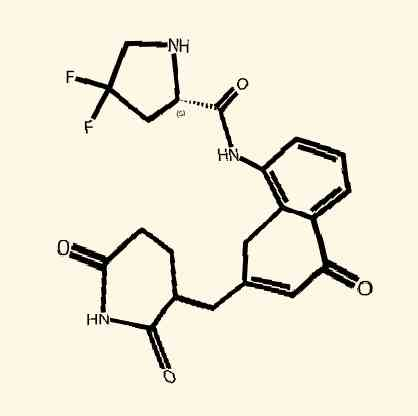 O=C1CCC(CC2=CC(=O)c3cccc(NC(=O)[C@@H]4CC(F)(F)CN4)c3C2)C(=O)N1